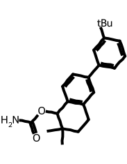 CC(C)(C)c1cccc(-c2ccc3c(c2)CCC(C)(C)C3OC(N)=O)c1